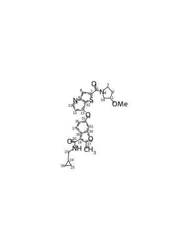 COC1CCN(C(=O)c2cc3nccc(Oc4ccc5c(C(=O)NCC6CC6)c(C)oc5c4)c3s2)C1